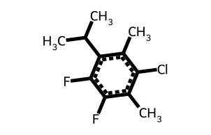 Cc1c(F)c(F)c(C(C)C)c(C)c1Cl